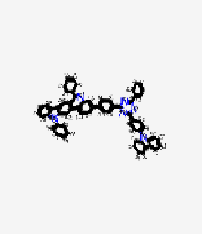 c1ccc(-c2nc(-c3ccc(-c4ccc5c(c4)nc(-c4ccccc4)c4cc6c7ccccc7n(-c7ccccc7)c6cc45)cc3)nc(-c3ccc(-n4c5ccccc5c5ccccc54)cc3)n2)cc1